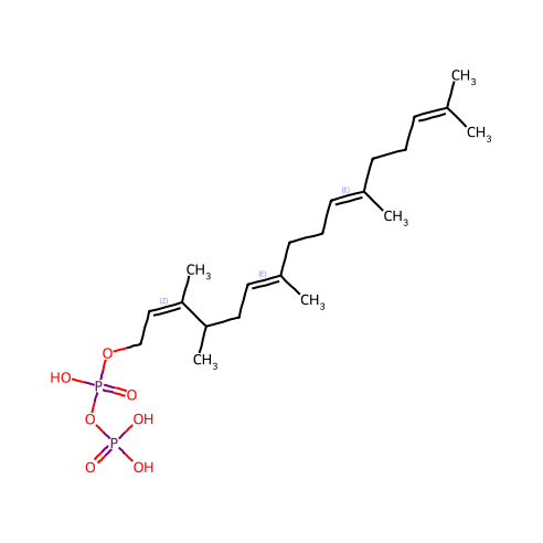 CC(C)=CCC/C(C)=C/CC/C(C)=C/CC(C)/C(C)=C\COP(=O)(O)OP(=O)(O)O